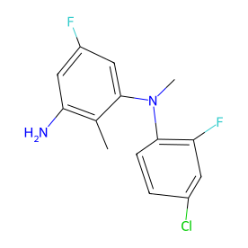 Cc1c(N)cc(F)cc1N(C)c1ccc(Cl)cc1F